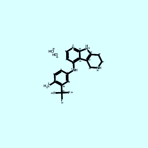 Cc1ccc(Nc2ccnc3[nH]c4c(c23)CNCC4)cc1C(F)(F)F.Cl.Cl